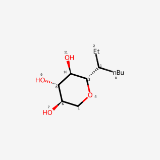 CCCCC(CC)[C@@H]1OC[C@@H](O)[C@H](O)[C@H]1O